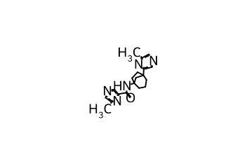 Cc1cncc(C(=O)NC23CCCC(c4cncc(C)n4)(CC2)C3)n1